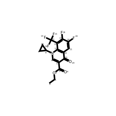 CCOC(=O)c1cn(C2CC2)c2c(C(F)(F)F)c(F)c(F)cc2c1=O